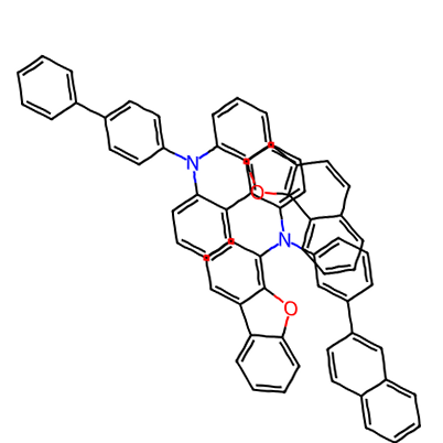 c1ccc(-c2ccc(N(c3ccccc3-c3ccccc3N(c3cccc(-c4ccc5ccccc5c4)c3)c3cccc4c3oc3ccccc34)c3cccc4c3oc3c5ccccc5ccc43)cc2)cc1